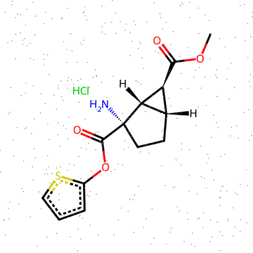 COC(=O)[C@H]1[C@@H]2CC[C@@](N)(C(=O)Oc3cccs3)[C@@H]21.Cl